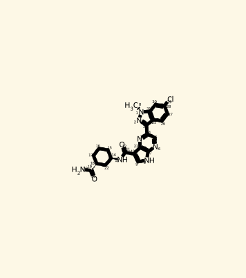 Cn1nc(-c2cnc3[nH]cc(C(=O)N[C@@H]4CCC[C@@H](C(N)=O)C4)c3n2)c2ccc(Cl)cc21